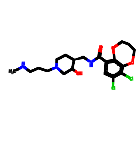 CNCCCN1CC[C@@H](CNC(=O)c2cc(Cl)c(Cl)c3c2OCCCO3)C(O)C1